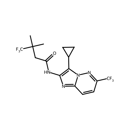 CC(C)(CC(=O)Nc1nc2ccc(C(F)(F)F)nn2c1C1CC1)C(F)(F)F